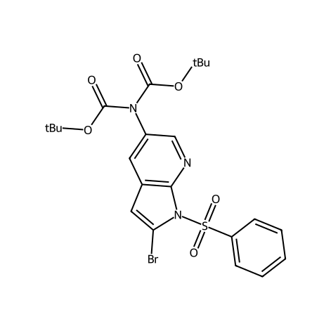 CC(C)(C)OC(=O)N(C(=O)OC(C)(C)C)c1cnc2c(c1)cc(Br)n2S(=O)(=O)c1ccccc1